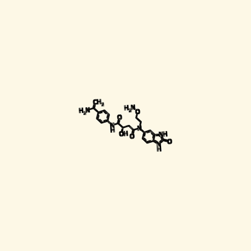 C=C(N)c1ccc(NC(=O)[C@H](O)CC(=O)N(CCON)c2ccc3[nH]c(=O)[nH]c3c2)cc1